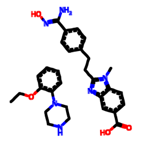 CCOc1ccccc1N1CCNCC1.Cn1c(CCc2ccc(C(N)=NO)cc2)nc2cc(C(=O)O)ccc21